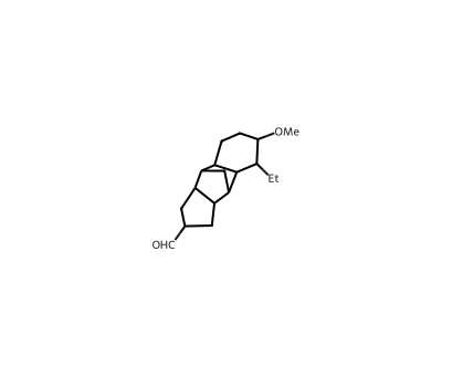 CCC1C(OC)CCC2C3CC(C4CC(C=O)CC34)C12